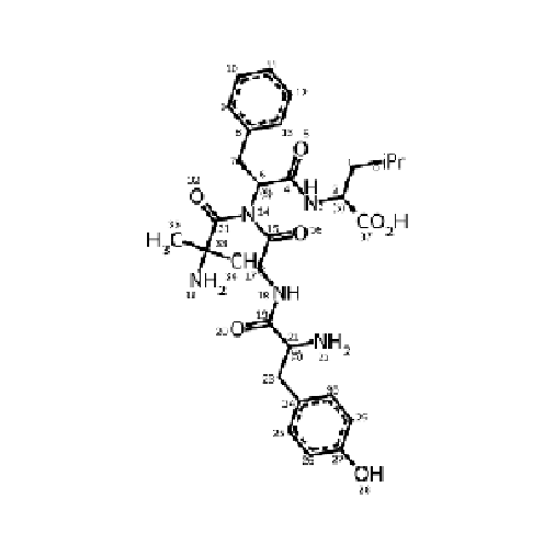 CC(C)C[C@H](NC(=O)[C@H](Cc1ccccc1)N(C(=O)CNC(=O)[C@@H](N)Cc1ccc(O)cc1)C(=O)C(C)(C)N)C(=O)O